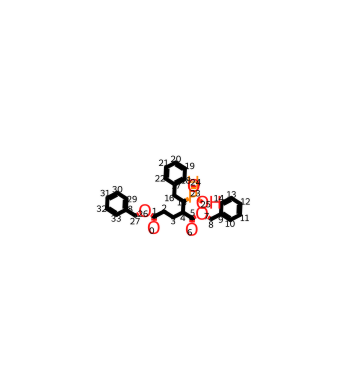 O=C(CCC(C(=O)OCc1ccccc1)C(Cc1ccccc1)[PH](=O)O)OCc1ccccc1